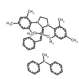 CP(c1ccccc1)c1ccccc1.Cc1cc(C)c(N2CCN(c3c(C)cc(C)cc3C)[C]2=[Ru]([Cl])([Cl])=[CH]c2ccccc2)c(C)c1